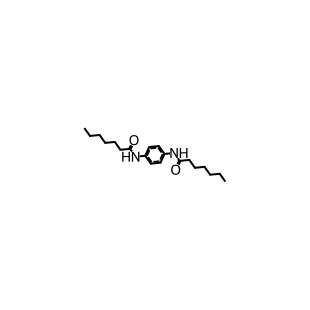 CCCCCCC(=O)Nc1ccc(NC(=O)CCCCCC)cc1